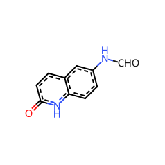 O=CNc1ccc2[nH]c(=O)ccc2c1